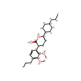 CCCc1ccc(C2CCC(C3CCC(CCC)CC3)OC2=O)c(OC)c1OC